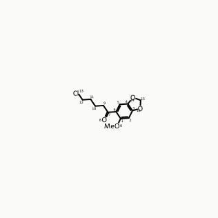 COc1cc2c(cc1C(=O)CCCCCl)OCO2